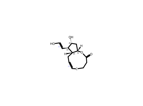 O=C1CCC/C=C\C[C@@H]2[C@@H](/C=C/O)[C@H](O)C[C@@H]2O1